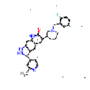 Cc1cc(C2NNc3cc4[nH]c(=O)c(C5CCCN(Cc6cc(F)ccc6F)C5)cc4cc32)ccn1